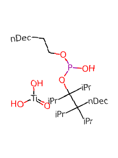 CCCCCCCCCCCCOP(O)OC(C(C)C)(C(C)C)C(CCCCCCCCCC)(C(C)C)C(C)C.[O]=[Ti]([OH])[OH]